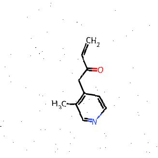 C=CC(=O)Cc1ccncc1C